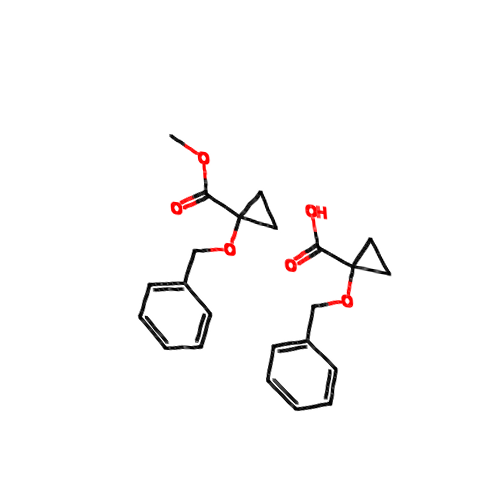 COC(=O)C1(OCc2ccccc2)CC1.O=C(O)C1(OCc2ccccc2)CC1